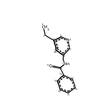 CCc1cncc(NC(=O)c2ccccc2)c1